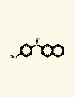 CC(C)N(c1ccc(C(C)(C)C)cc1)c1ccc2ccccc2c1